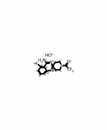 Cl.NC1=NC2(CCN(C(=O)C(F)(F)F)CC2)Nc2cccc(F)c21